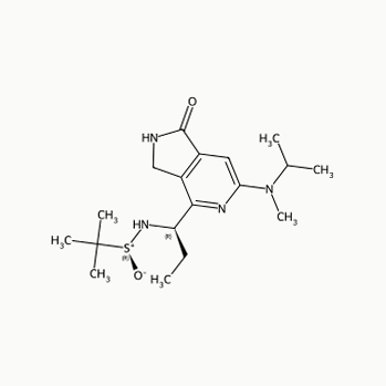 CC[C@@H](N[S@@+]([O-])C(C)(C)C)c1nc(N(C)C(C)C)cc2c1CNC2=O